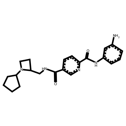 Nc1cccc(NC(=O)c2ccc(C(=O)NCC3CCN3C3CCCC3)cn2)c1